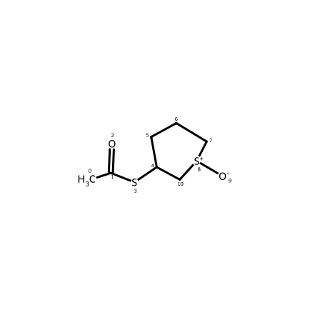 CC(=O)SC1CCC[S+]([O-])C1